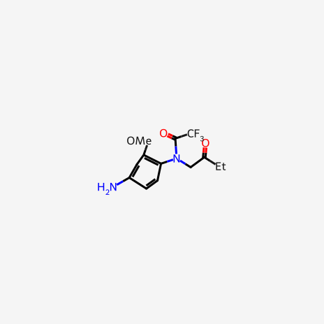 CCC(=O)CN(C(=O)C(F)(F)F)c1ccc(N)cc1OC